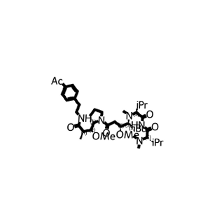 CC[C@H](C)[C@@H]([C@@H](CC(=O)N1CCC[C@H]1[C@H](OC)[C@@H](C)C(=O)NCCc1ccc(C(C)=O)cc1)OC)N(C)[C@H](C(=O)NC(=O)[C@H](C(C)C)N(C)C)C(C)C